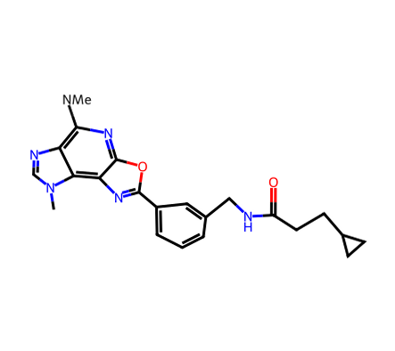 CNc1nc2oc(-c3cccc(CNC(=O)CCC4CC4)c3)nc2c2c1ncn2C